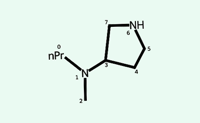 CCCN(C)C1CCNC1